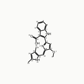 COC1=CC(c2[nH]c3ccccc3c2C(=O)O)=NC1=Cc1[nH]c(C)cc1C